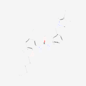 Br.CCCCCCCCCCCCCCOc1c(Cl)cccc1NC(=O)Nc1cccc(CN2C=C(C)SC2)c1